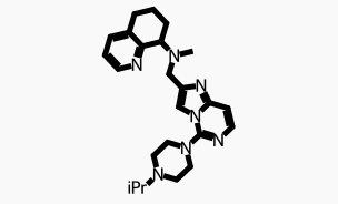 CC(C)N1CCN(c2nccc3nc(CN(C)C4CCCc5cccnc54)cn23)CC1